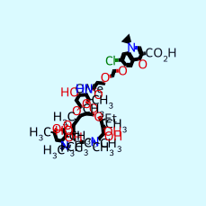 CC[C@@H]1OC(=O)[C@H](C)[C@H](O[C@@H]2C[C@@](O)(OC)[C@@H](NC(=O)CCOCCOc3cc4c(=O)c(C(=O)O)cn(C5CC5)c4cc3Cl)[C@H](C)O2)[C@@H](C)[C@H](O[C@@H]2O[C@H](C)C[C@H](N(C)C)[C@@H]2O)C(C)(O)C[C@H](C)CN(C)[C@H](C)[C@@H](O)C1(C)O